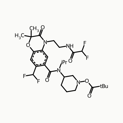 CC(C)N(C(=O)c1cc2c(cc1C(F)F)OC(C)(C)C(=O)N2CCNC(=O)C(F)F)C1CCCN(OC(=O)C(C)(C)C)C1